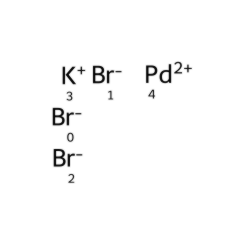 [Br-].[Br-].[Br-].[K+].[Pd+2]